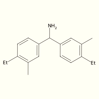 CCc1ccc(C(N)c2ccc(CC)c(C)c2)cc1C